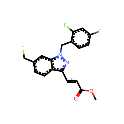 COC(=O)/C=C/c1nn(Cc2ccc(Cl)cc2F)c2cc(CF)ccc12